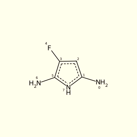 Nc1cc(F)c(N)[nH]1